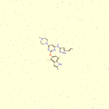 C/C=C/c1cc(Nc2cc(N3CCN(C)CC3)nc(Oc3cc(F)c4[nH]c(C)cc4c3F)n2)n[nH]1